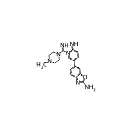 CN1CCN(C(=N)n2cc(-c3ccc4nc(N)oc4c3)ccc2=N)CC1